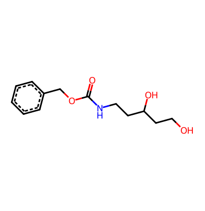 O=C(NCCC(O)CCO)OCc1ccccc1